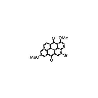 COc1cc2ccc3c4c2c(c1)c(=O)c1cc(Br)c2ccc(OC)c(c3=O)c2c1-4